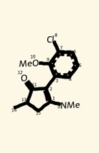 CNC1=C(c2cccc(Cl)c2OC)C(=O)C(C)C1